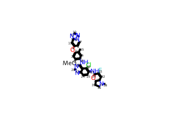 COc1cc(Oc2ccn3ncnc3c2)c(C)cc1Nc1ncnc2ccc(NC(=O)/C(F)=C\C3CCCN3C)c(Cl)c12